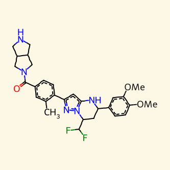 COc1ccc(C2CC(C(F)F)n3nc(-c4ccc(C(=O)N5CC6CNCC6C5)cc4C)cc3N2)cc1OC